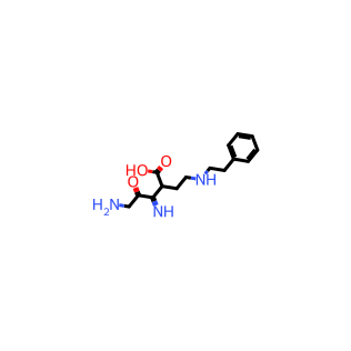 N=C(C(=O)CN)C(CCNCCc1ccccc1)C(=O)O